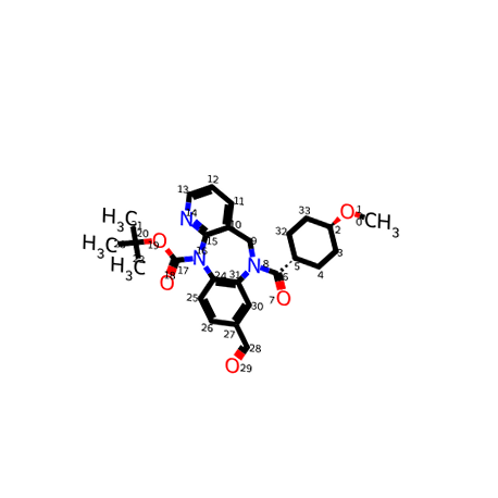 CO[C@H]1CC[C@H](C(=O)N2Cc3cccnc3N(C(=O)OC(C)(C)C)c3ccc(C=O)cc32)CC1